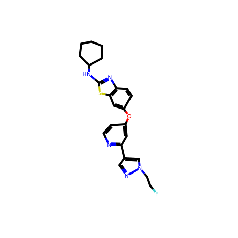 FCCn1cc(-c2cc(Oc3ccc4nc(NC5CCCCC5)sc4c3)ccn2)cn1